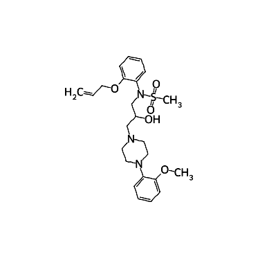 C=CCOc1ccccc1N(CC(O)CN1CCN(c2ccccc2OC)CC1)S(C)(=O)=O